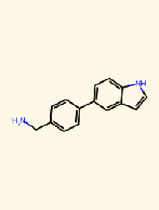 NCc1ccc(-c2ccc3[nH]ccc3c2)cc1